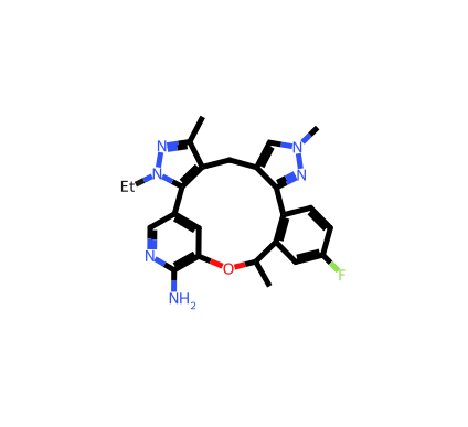 CCn1nc(C)c2c1-c1cnc(N)c(c1)OC(C)c1cc(F)ccc1-c1nn(C)cc1C2